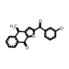 C=C1c2ccccc2C(=O)c2oc(C(=O)c3cccc(Cl)c3)cc21